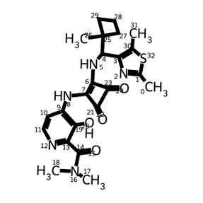 Cc1nc(C(Nc2c(Nc3ccnc(C(=O)N(C)C)c3O)c(=O)c2=O)C2(C)CCC2)c(C)s1